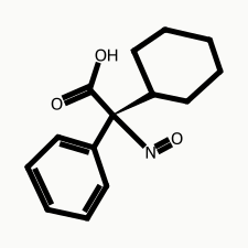 O=N[C@@](C(=O)O)(c1ccccc1)C1CCCCC1